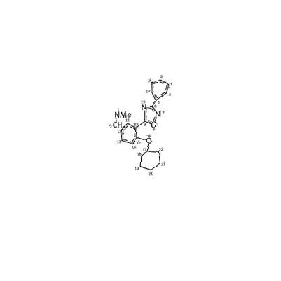 CNC.c1ccc(-c2noc(-c3ccccc3OC3CCCCC3)n2)cc1